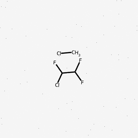 CCl.FC(F)C(F)Cl